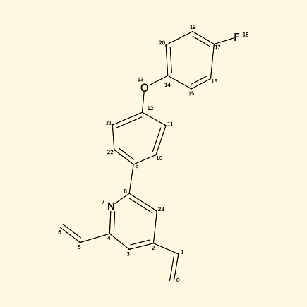 C=Cc1cc(C=C)nc(-c2ccc(Oc3ccc(F)cc3)cc2)c1